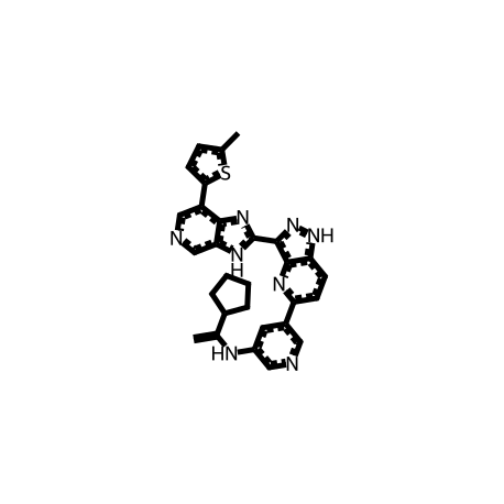 C=C(Nc1cncc(-c2ccc3[nH]nc(-c4nc5c(-c6ccc(C)s6)cncc5[nH]4)c3n2)c1)C1CCCC1